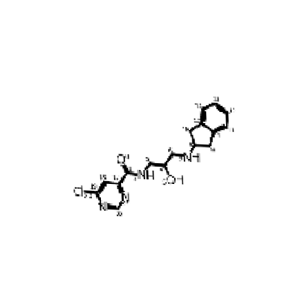 O=C(NCC(O)CNC1Cc2ccccc2C1)c1cc(Cl)ncn1